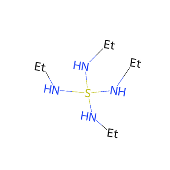 CCNS(NCC)(NCC)NCC